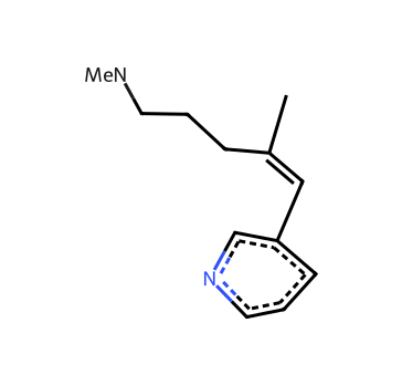 CNCCC/C(C)=C\c1cccnc1